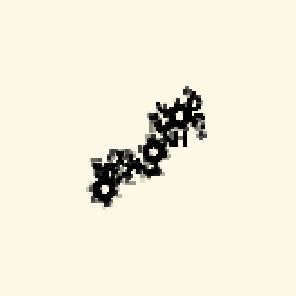 COc1cc2ncnc(Nc3ccc4c(c3)CCN4C(=O)Cn3c(=O)n(C)c4ccccc43)c2cc1OC